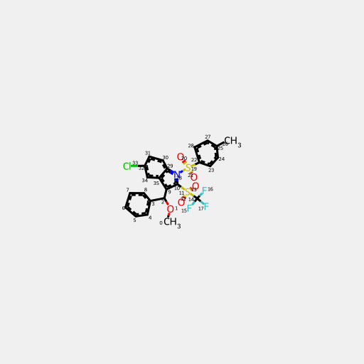 COC(c1ccccc1)c1c(S(=O)(=O)C(F)(F)F)n(S(=O)(=O)c2ccc(C)cc2)c2ccc(Cl)cc12